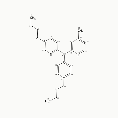 CCCCc1ccc(N(c2ccc(CCCC)cc2)c2ccnc(C)c2)cc1